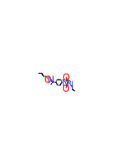 C=CCN1CC(=O)N(c2ccc(/C(C)=N/OC/C=C/C)cc2)C1=O